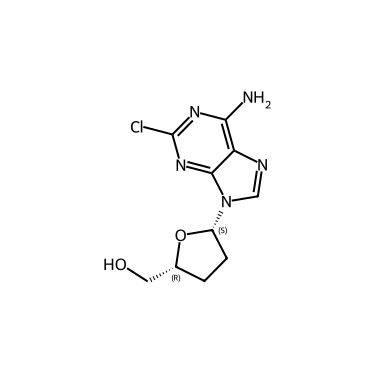 Nc1nc(Cl)nc2c1ncn2[C@@H]1CC[C@H](CO)O1